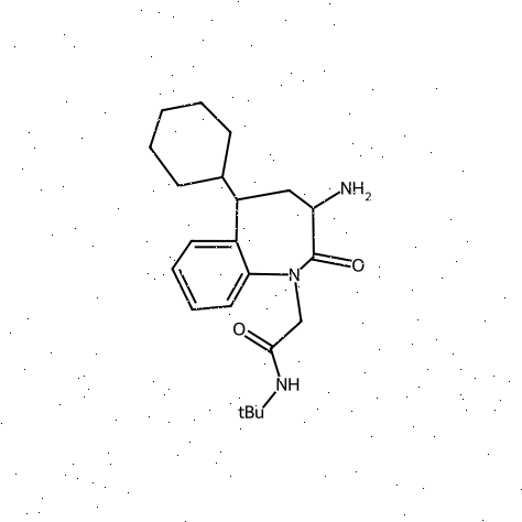 CC(C)(C)NC(=O)CN1C(=O)C(N)CC(C2CCCCC2)c2ccccc21